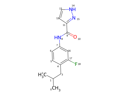 CC(C)Cc1ccc(NC(=O)c2cc[nH]n2)cc1F